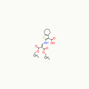 CCOC(=O)C(=CNc1sc2c(c1C(=O)O)CCCC2)C(=O)OCC